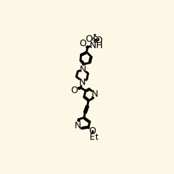 CCOc1cncc(C#Cc2cncc(C(=O)N3CCN(c4ccc(C(=O)NS(C)(=O)=O)cc4)CC3)c2)c1